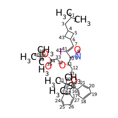 CC(C)CC1CC(c2onc(C(CCO[Si](c3ccccc3)(c3ccccc3)C(C)(C)C)OCC(=O)OC(C)(C)C)c2I)C1